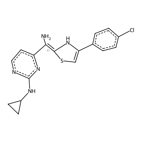 N/C(=C1\NC(c2ccc(Cl)cc2)=CS1)c1ccnc(NC2CC2)n1